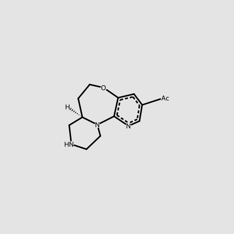 CC(=O)c1cnc2c(c1)OCC[C@@H]1CNCCN21